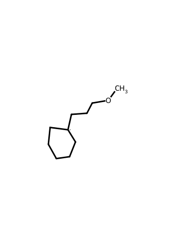 COCCC[C]1CCCCC1